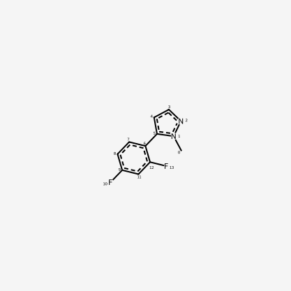 Cn1nccc1-c1ccc(F)cc1F